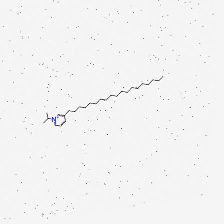 CCCCCCCCCCCCCCCCCCCc1ccc[n+](C(C)C)c1